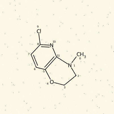 CN1CCOc2ccc(Cl)nc21